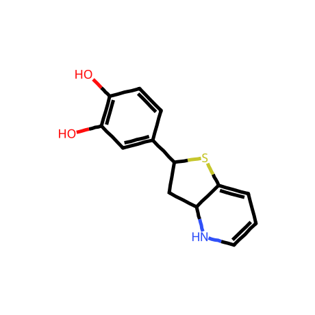 Oc1ccc(C2CC3NC=CC=C3S2)cc1O